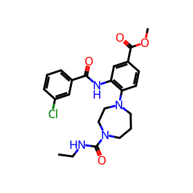 CCNC(=O)N1CCCN(c2ccc(C(=O)OC)cc2NC(=O)c2cccc(Cl)c2)CC1